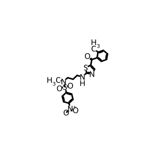 Cc1ccccc1C(=O)c1cnc(NCCCN(C)S(=O)(=O)c2ccc([N+](=O)[O-])cc2)s1